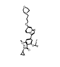 COc1cc(-c2cnc3cc(OCCCN4CCOCC4)ccn23)cc(OC(F)F)c1C(=O)NC1CC1